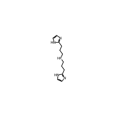 c1c[nH]c(CCCPCCCc2ncc[nH]2)n1